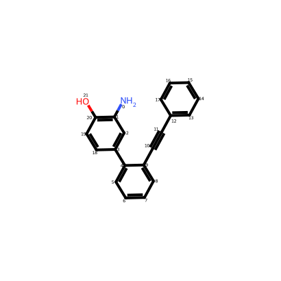 Nc1cc(-c2ccccc2C#Cc2ccccc2)ccc1O